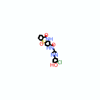 O=C(NCc1cnc(-c2ccc(O)c(Cl)c2)nc1)c1ccc2c(c1)NC(=O)c1ccccc1[S+]2[O-]